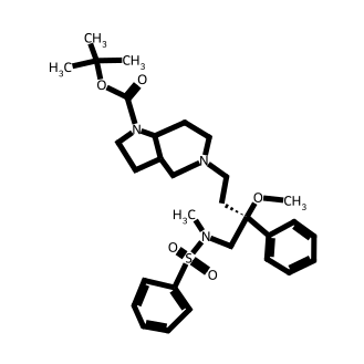 CO[C@](CCN1CCC2C(CCN2C(=O)OC(C)(C)C)C1)(CN(C)S(=O)(=O)c1ccccc1)c1ccccc1